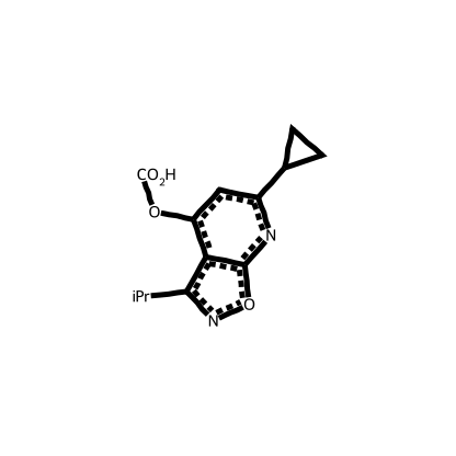 CC(C)c1noc2nc(C3CC3)cc(OC(=O)O)c12